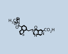 CS(=O)(=O)NC(=O)c1ccc(CCn2cnc3cnc(C(=O)O)cc3c2=O)c2sccc12